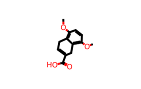 COc1ccc(OC)c2c1CC=C(C(=O)O)C2